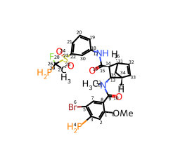 COc1cc(P)c(Br)cc1C(=O)N(C)[C@H]1[C@@H](C(=O)Nc2cccc(S(=O)(=O)C(C)(F)P)c2)[C@H]2C=C[C@H]1C2